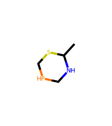 CC1NCPCS1